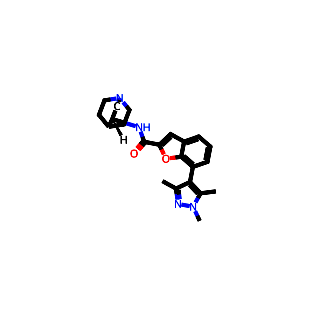 Cc1nn(C)c(C)c1-c1cccc2cc(C(=O)N[C@H]3CN4CCC3CC4)oc12